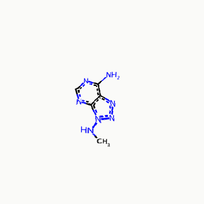 CNn1nnc2c(N)ncnc21